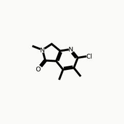 Cc1c(Cl)nc2c(c1C)C(=O)N(C)C2